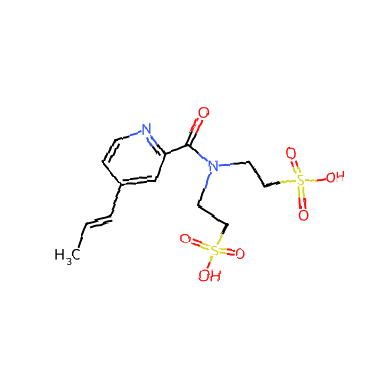 C/C=C/c1ccnc(C(=O)N(CCS(=O)(=O)O)CCS(=O)(=O)O)c1